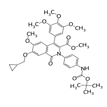 COC(=O)c1c(-c2cc(OC)c(OC)c(OC)c2)c2cc(OC)c(OCC3CC3)cc2c(=O)n1-c1ccc(NC(=O)OC(C)(C)C)cc1